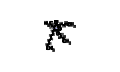 CCCCCCCC/C(C(=O)OCCCC)=C(\CC)C(=O)OCCCC